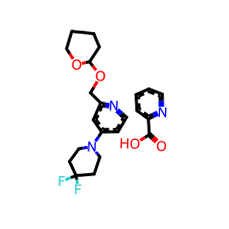 FC1(F)CCN(c2ccnc(COC3CCCCO3)c2)CC1.O=C(O)c1ccccn1